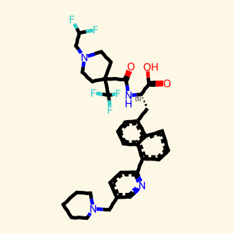 O=C(O)[C@H](Cc1cccc2c(-c3ccc(CN4CCCCC4)cn3)cccc12)NC(=O)C1(C(F)(F)F)CCN(CC(F)F)CC1